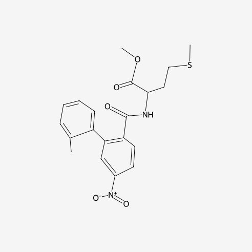 COC(=O)C(CCSC)NC(=O)c1ccc([N+](=O)[O-])cc1-c1ccccc1C